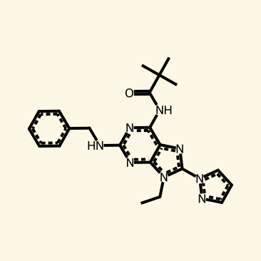 CCn1c(-n2cccn2)nc2c(NC(=O)C(C)(C)C)nc(NCc3ccccc3)nc21